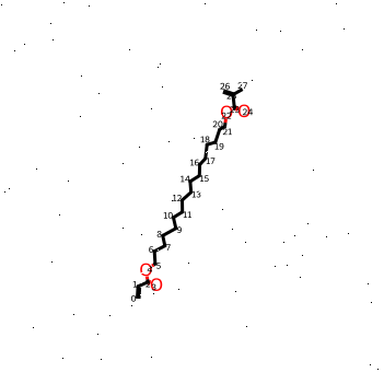 C=CC(=O)OCCCCCCCCCCCCCCCCCOC(=O)C(=C)C